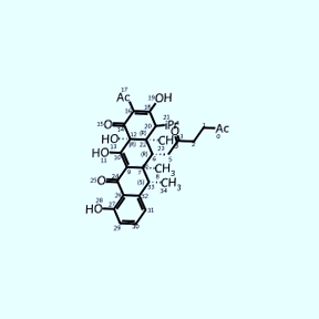 CC(=O)CCC(=O)C[C@@H]1[C@]2(C)C(=C(O)[C@@]3(O)C(=O)C(C(C)=O)=C(O)C(C(C)C)[C@@]13C)C(=O)c1c(O)cccc1[C@H]2C